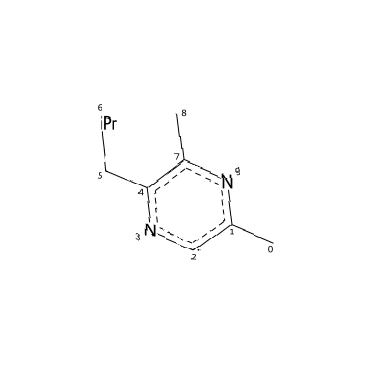 Cc1[c]nc(CC(C)C)c(C)n1